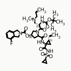 C=CCN(C)C[C@H](NC(=O)OC(C)(C)C)C(=O)N1C[C@H](OC(=O)N2Cc3cccc(F)c3C2)CC1C(=O)N[C@]1(C(=O)NS(=O)(=O)C2CC2)C[C@H]1C=C